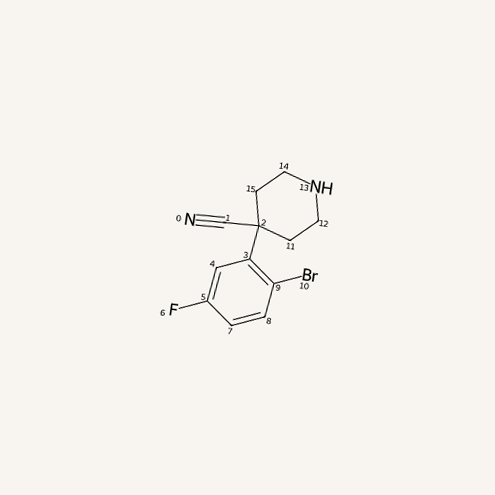 N#CC1(c2cc(F)ccc2Br)CCNCC1